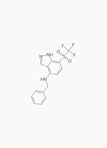 O=S(=O)(c1ccc(NCc2ccccc2)c2cn[nH]c12)C(F)(F)F